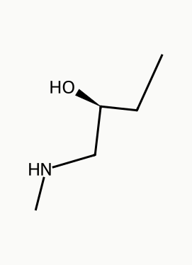 CC[C@H](O)CNC